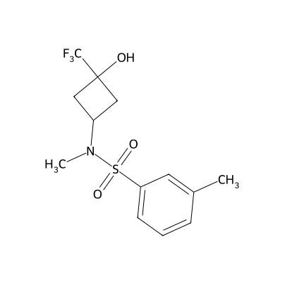 Cc1cccc(S(=O)(=O)N(C)C2CC(O)(C(F)(F)F)C2)c1